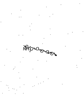 C#CCOCCOCCOCCOCCOCCOC(C)N